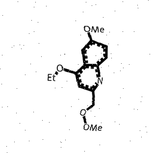 CCOc1cc(COOC)nc2ccc(OC)cc12